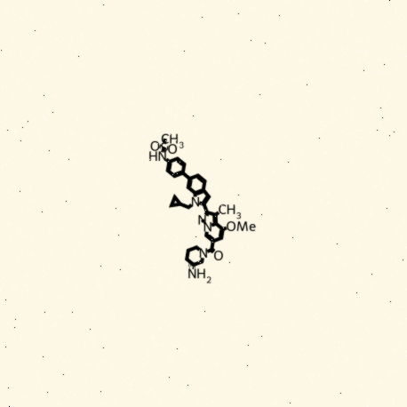 COc1cc(C(=O)N2CCC[C@@H](N)C2)cn2nc(-c3cc4ccc(-c5ccc(NS(C)(=O)=O)cc5)cc4n3CC3CC3)c(C)c12